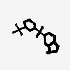 O=S(=O)(c1cccc(C(F)(F)F)c1)c1ccc2[c]c[nH]c2c1